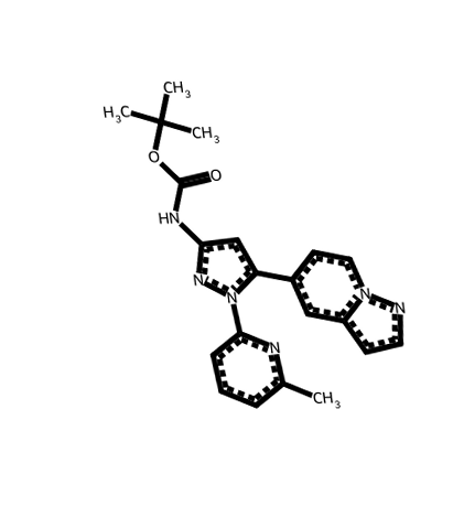 Cc1cccc(-n2nc(NC(=O)OC(C)(C)C)cc2-c2ccn3nccc3c2)n1